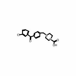 O=C(c1ccc(CN2CCN(C(=O)O)CC2)cc1)c1cccc(Cl)c1